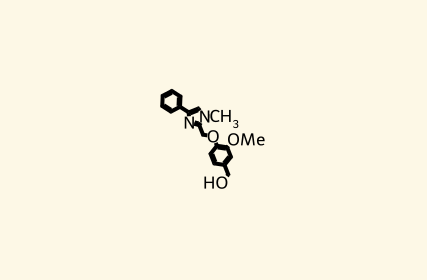 COc1cc(CO)ccc1OCc1nc(-c2ccccc2)cn1C